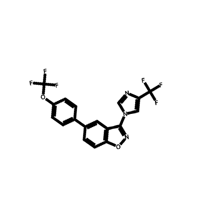 FC(F)(F)Oc1ccc(-c2ccc3onc(-n4cnc(C(F)(F)F)c4)c3c2)cc1